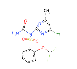 Cc1cc(Cl)nc(N(C(N)=O)S(=O)(=O)c2ccccc2OC(F)F)n1